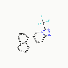 FC(F)(F)c1nnc2ccc(-c3cccc4ccccc34)cn12